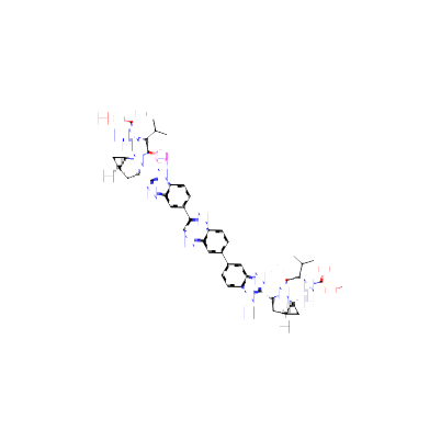 COC(=O)N[C@H](C(=O)N1[C@@H]2C[C@@H]2C[C@H]1c1nc2cc(-c3ccc4nc(-c5ccc6[nH]c([C@@H]7C[C@H]8C[C@H]8N7C(=O)[C@@H](NC(=O)O)C(C)C)nc6c5)cnc4c3)ccc2[nH]1)C(C)C